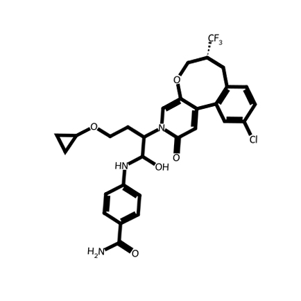 NC(=O)c1ccc(NC(O)C(CCOC2CC2)n2cc3c(cc2=O)-c2cc(Cl)ccc2C[C@@H](C(F)(F)F)CO3)cc1